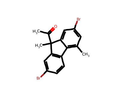 CC(=O)C1(C)c2cc(Br)ccc2-c2c(C)cc(Br)cc21